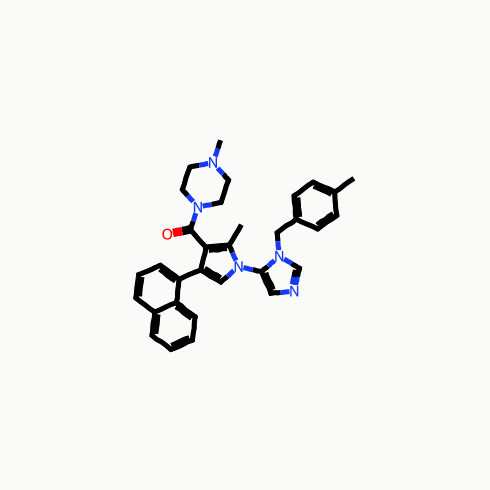 Cc1ccc(Cn2cncc2-n2cc(-c3cccc4ccccc34)c(C(=O)N3CCN(C)CC3)c2C)cc1